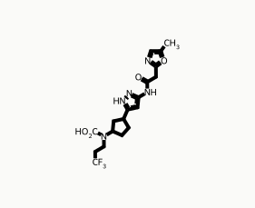 Cc1cnc(CC(=O)Nc2cc(C3CCC(N(CCC(F)(F)F)C(=O)O)C3)[nH]n2)o1